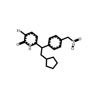 CCc1ccc(C(CC2CCCC2)c2ccc(C[SH](=O)=O)cc2)[nH]c1=O